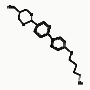 CCCCCCCCCCC1COC(c2ccc(-c3ccc(OCCCC[C@@H](C)CC)cc3)nc2)OC1